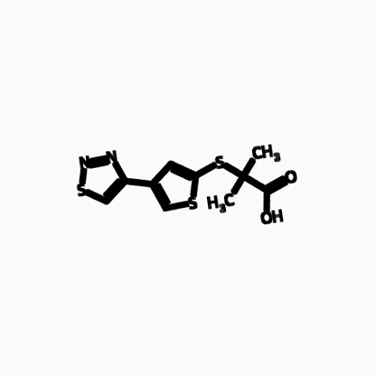 CC(C)(Sc1cc(-c2csnn2)cs1)C(=O)O